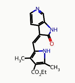 CCOC(=O)c1c(C)[nH]c(C=C2C(=O)Nc3cnccc32)c1C